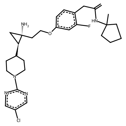 C=C(Cc1ccc(OCC[C@]2(N)C[C@@H]2C2CCN(c3ncc(Cl)cn3)CC2)cc1F)NC1(C)CCCC1